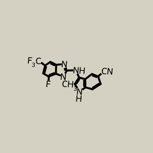 Cn1c(Nc2c[nH]c3ccc(C#N)cc23)nc2cc(C(F)(F)F)cc(F)c21